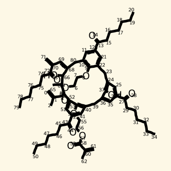 C=C(C)C(=O)OCCOc1c2cc(C(=O)CCCCCC)cc1Cc1cc(C(=O)CCCCCC)cc(c1O)Cc1cc(C(=O)CCCCCC)cc(c1OCCOC(=O)C(=C)C)CC(C)C(O)/C(=C\C(=C)C(=O)CCCCCC)C2